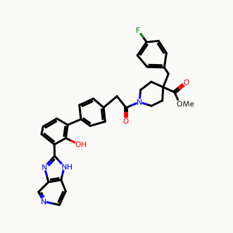 COC(=O)C1(Cc2ccc(F)cc2)CCN(C(=O)Cc2ccc(-c3cccc(-c4nc5cnccc5[nH]4)c3O)cc2)CC1